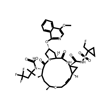 COc1cnc(O[C@@H]2C[C@H]3C(=O)N[C@]4(C(=O)NS(=O)(=O)C5(CF)CC5)C[C@H]4C=CCC[C@@H](C)C[C@@H](C)[C@H](N(C(=O)O)C(C)(C)CC(F)(F)F)C(=O)N3C2)c2ccccc12